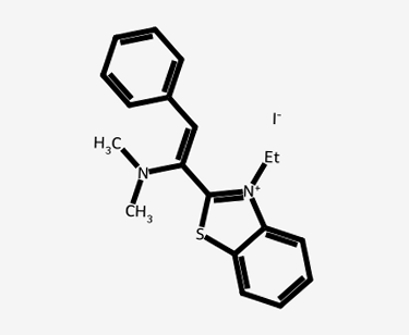 CC[n+]1c(C(=Cc2ccccc2)N(C)C)sc2ccccc21.[I-]